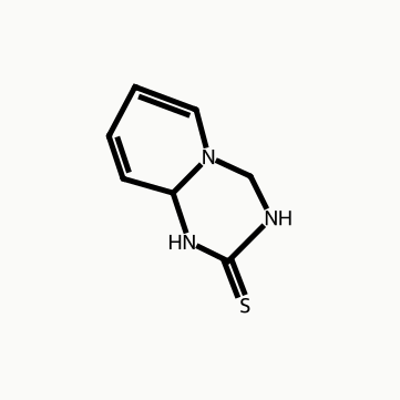 S=C1NCN2C=CC=CC2N1